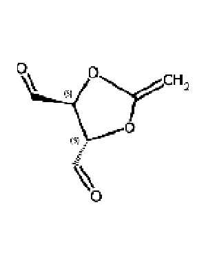 C=C1O[C@H](C=O)[C@@H](C=O)O1